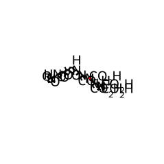 CC1=C(CC(=O)NCCN2C(=O)C=CC2=O)C(=O)OC2CC(NC(=O)CN(CCN(CCN(CCN(CC(=O)O)CC(=O)O)CC(=O)O)CC(=O)O)CC(=O)O)=CC=C12